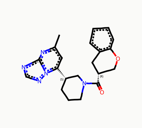 Cc1cc([C@H]2CCCN(C(=O)[C@H]3COc4ccccc4C3)C2)n2ncnc2n1